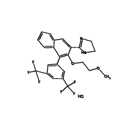 COCCOc1c(C2=NCCN2)cc2ccccc2c1-c1cc(C(F)(F)F)cc(C(F)(F)F)c1.Cl